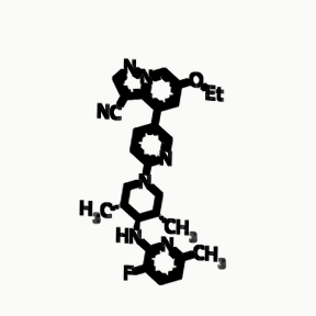 CCOc1cc(-c2ccc(N3C[C@@H](C)[C@H](Nc4nc(C)ccc4F)[C@@H](C)C3)nc2)c2c(C#N)cnn2c1